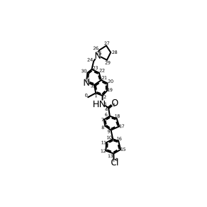 Cc1c(NC(=O)c2ccc(-c3ccc(Cl)cc3)cc2)ccc2cc(CN3CCCC3)cnc12